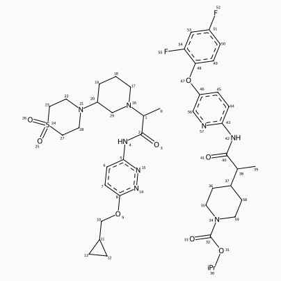 CC(C(=O)Nc1ccc(OCC2CC2)nn1)N1CCCC(N2CCS(=O)(=O)CC2)C1.CC(C)OC(=O)N1CCC(C(C)C(=O)Nc2ccc(Oc3ccc(F)cc3F)cn2)CC1